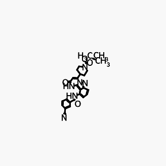 CC(C)(C)OC(=O)N1CCC(c2cc(=O)[nH]c3c4c(NC(=O)c5cccc(C#N)c5)cccc4nn23)CC1